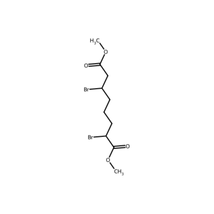 COC(=O)CC(Br)CCCC(Br)C(=O)OC